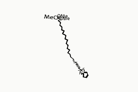 CO[Si](CCCCCCCCCCCCCCCCCCSSSSSc1nc2ccccc2s1)(OC)OC